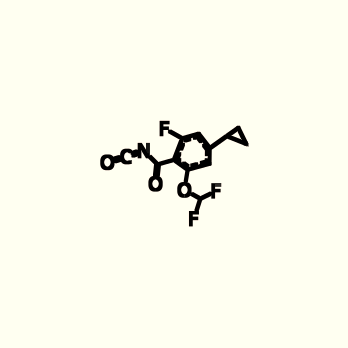 O=C=NC(=O)c1c(F)cc(C2CC2)cc1OC(F)F